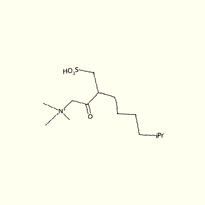 CC(C)CCCCC(CS(=O)(=O)O)C(=O)C[N+](C)(C)C